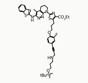 CCOC(=O)c1nc(N2CCCc3c2nnc(Nc2nc4ccccc4s2)c3C)sc1CCCOc1ccc(C#CCNCCCO[Si](C)(C)C(C)(C)C)cc1F